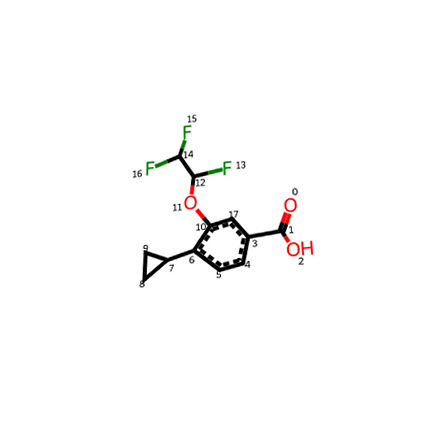 O=C(O)c1ccc(C2CC2)c(OC(F)C(F)F)c1